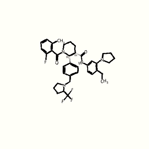 CCc1ccc(NC(=O)[C@H]2CCCN(C(=O)c3c(C)cccc3F)[C@H]2c2ccc(CN3CCCC3C(F)(F)F)cc2)cc1N1CCCC1